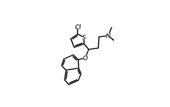 CN(C)CCC(Oc1cccc2ccccc12)c1ccc(Cl)s1